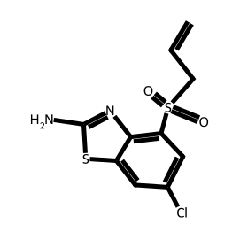 C=CCS(=O)(=O)c1cc(Cl)cc2sc(N)nc12